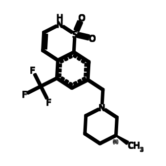 C[C@H]1CCCN(Cc2cc(C(F)(F)F)c3c(c2)S(=O)(=O)NC=C3)C1